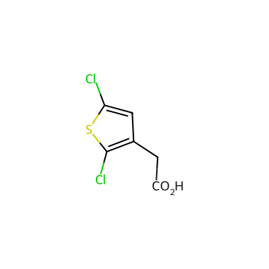 O=C(O)Cc1cc(Cl)sc1Cl